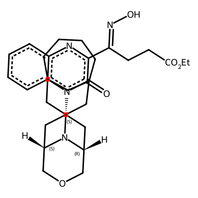 CCOC(=O)CCC(=NO)c1nc2ccccc2n([C@H]2C[C@H]3COC[C@@H](C2)N3C2CC3CCCCC(C3)C2)c1=O